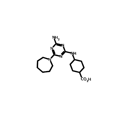 Nc1nc(NC2CCC(C(=O)O)CC2)nc(N2CCCCCC2)n1